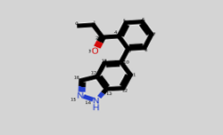 CCC(=O)c1ccccc1-c1ccc2[nH]ncc2c1